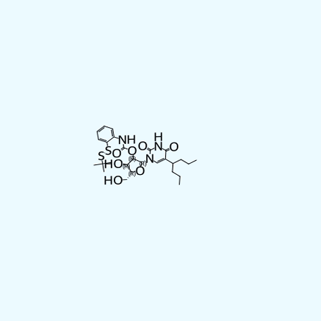 CCCC(CCC)c1cn([C@@H]2O[C@H](CO)[C@@H](O)[C@H]2OC(=O)Nc2ccccc2SSC(C)(C)C)c(=O)[nH]c1=O